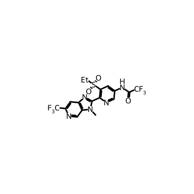 CCS(=O)(=O)c1cc(NC(=O)C(F)(F)F)cnc1-c1nc2cc(C(F)(F)F)ncc2n1C